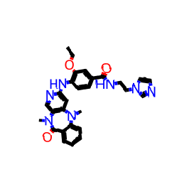 CCOc1cc(C(=O)NCCn2ccnc2)ccc1Nc1cc2c(cn1)N(C)C(=O)c1ccccc1N2C